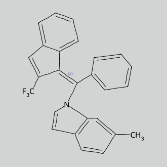 Cc1ccc2ccn(/C(=C3\C(C(F)(F)F)=Cc4ccccc43)c3ccccc3)c2c1